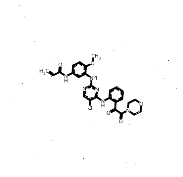 C=CC(=O)Nc1ccc(OC)c(Nc2ncc(Cl)c(Nc3ccccc3C(=O)C(=O)N3CCOCC3)n2)c1